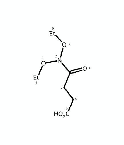 CCON(OCC)C(=O)CCC(=O)O